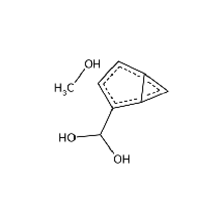 CO.OC(O)c1ccc2cc1-2